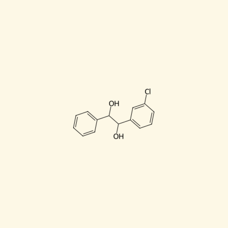 OC(c1ccccc1)C(O)c1cccc(Cl)c1